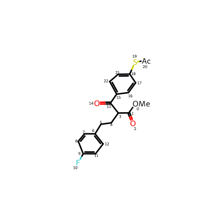 COC(=O)C(CCc1ccc(F)cc1)C(=O)c1ccc(SC(C)=O)cc1